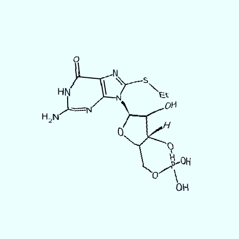 CCSc1nc2c(=O)[nH]c(N)nc2n1[C@@H]1OC2CO[PH](O)(O)O[C@H]2C1O